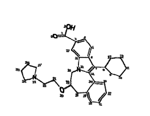 O=C(O)c1ccc2c(C3CCCCC3)c3n(c2c1)CC(OCCN1CCCC1)Cc1ccccc1-3